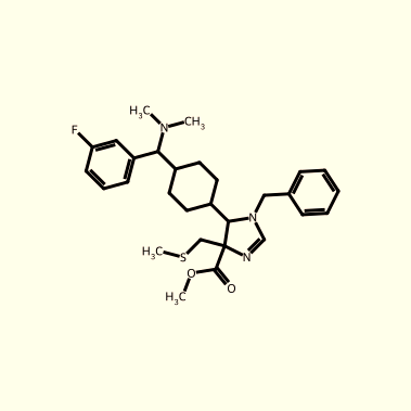 COC(=O)C1(CSC)N=CN(Cc2ccccc2)C1C1CCC(C(c2cccc(F)c2)N(C)C)CC1